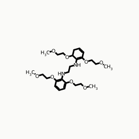 COCCOC1=C(NCCNc2c(OCCOC)cccc2OCCOC)C(OCCOC)CC=C1